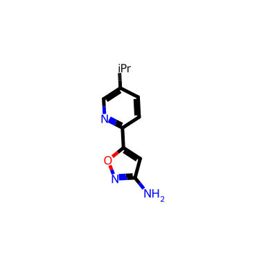 CC(C)c1ccc(-c2cc(N)no2)nc1